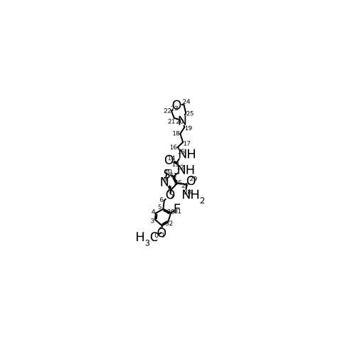 COc1ccc(COc2nsc(NC(=O)NCCCCN3CCOCC3)c2C(N)=O)c(F)c1